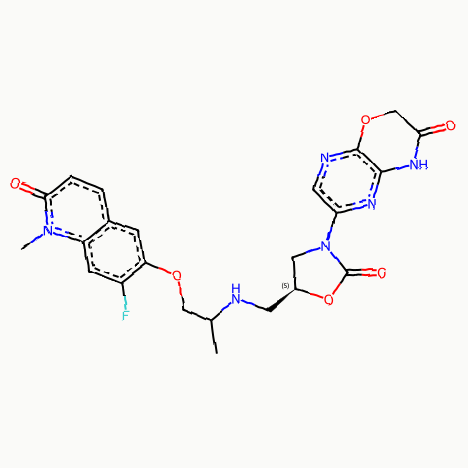 CC(COc1cc2ccc(=O)n(C)c2cc1F)NC[C@H]1CN(c2cnc3c(n2)NC(=O)CO3)C(=O)O1